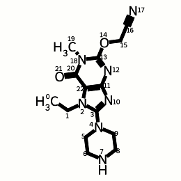 CCn1c(N2CCNCC2)nc2nc(OCC#N)n(C)c(=O)c21